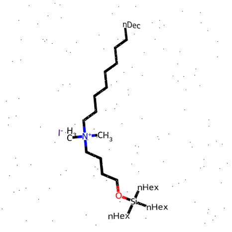 CCCCCCCCCCCCCCCCCC[N+](C)(C)CCCCO[Si](CCCCCC)(CCCCCC)CCCCCC.[I-]